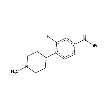 CC(C)Nc1ccc(C2CCN(C)CC2)c(F)c1